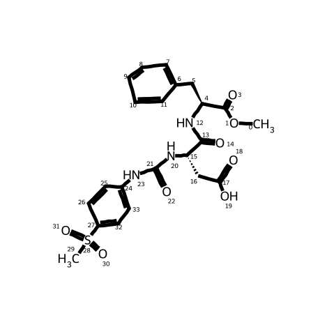 COC(=O)[C@H](Cc1ccccc1)NC(=O)[C@H](CC(=O)O)NC(=O)Nc1ccc(S(C)(=O)=O)cc1